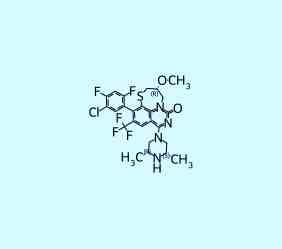 CO[C@H]1CSc2c(-c3cc(Cl)c(F)cc3F)c(C(F)(F)F)cc3c(N4C[C@@H](C)N[C@@H](C)C4)nc(=O)n(c23)C1